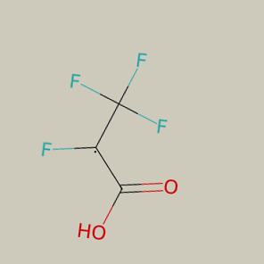 O=C(O)[C](F)C(F)(F)F